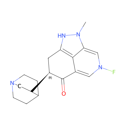 CN1NC2=C3C(=CN(F)C=C31)C(=O)[C@@H](C1CN3CCC1CC3)C2